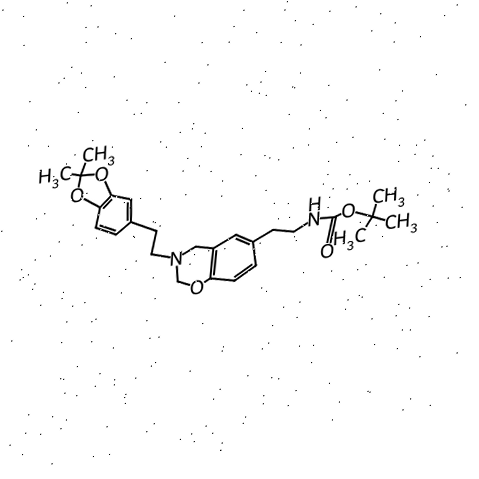 CC(C)(C)OC(=O)NCCc1ccc2c(c1)CN(CCc1ccc3c(c1)OC(C)(C)O3)CO2